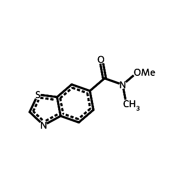 CON(C)C(=O)c1ccc2ncsc2c1